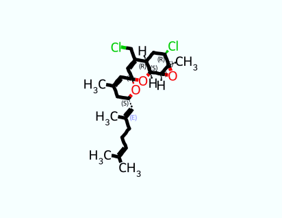 CC(C)=CCC/C(C)=C/[C@@H]1CC(C)=C[C@]2(C=C(CCl)[C@H]3C[C@@H](Cl)[C@@]4(C)O[C@H]4[C@H]3O2)O1